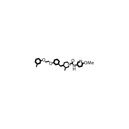 COc1ccc(NC(=O)N2CC/C(=C\c3cccc(OCCOc4cccc(C)c4)c3)C(C)C2)cn1